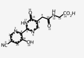 N#Cc1cnc(-c2ncc(CC(=O)NCC(=O)O)c(=O)[nH]2)c(O)c1